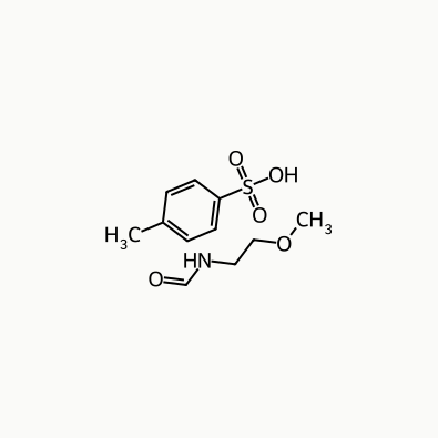 COCCNC=O.Cc1ccc(S(=O)(=O)O)cc1